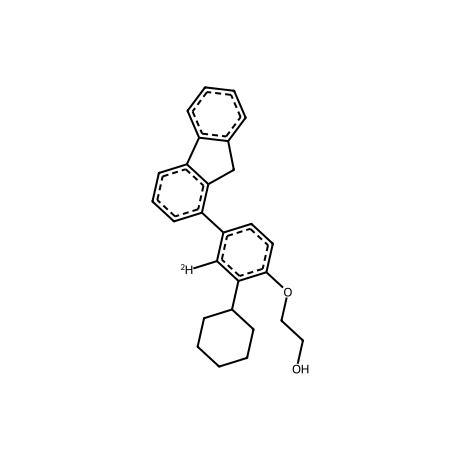 [2H]c1c(-c2cccc3c2Cc2ccccc2-3)ccc(OCCO)c1C1CCCCC1